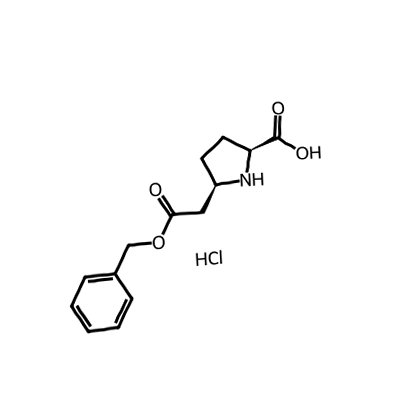 Cl.O=C(C[C@H]1CC[C@@H](C(=O)O)N1)OCc1ccccc1